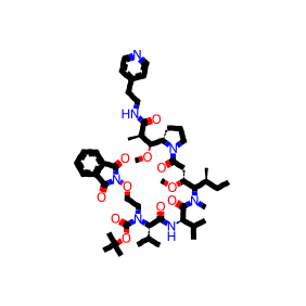 CC[C@H](C)C([C@@H](CC(=O)N1CCC[C@H]1[C@H](OC)[C@@H](C)C(=O)NCCc1ccncc1)OC)N(C)C(=O)[C@@H](NC(=O)[C@H](C(C)C)N(CCON1C(=O)c2ccccc2C1=O)C(=O)OC(C)(C)C)C(C)C